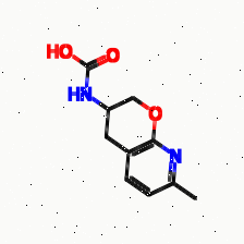 Cc1ccc2c(n1)OCC(NC(=O)O)C2